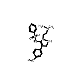 COc1ccc(C2=C(NS(=O)(=O)c3ccccc3)N(CCN(C)C)NC2)cc1